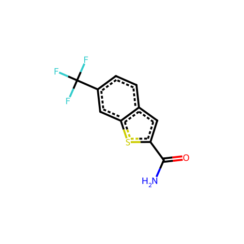 NC(=O)c1cc2ccc(C(F)(F)F)cc2s1